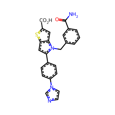 NC(=O)c1cccc(Cn2c(-c3ccc(-n4ccnc4)cc3)cc3sc(C(=O)O)cc32)c1